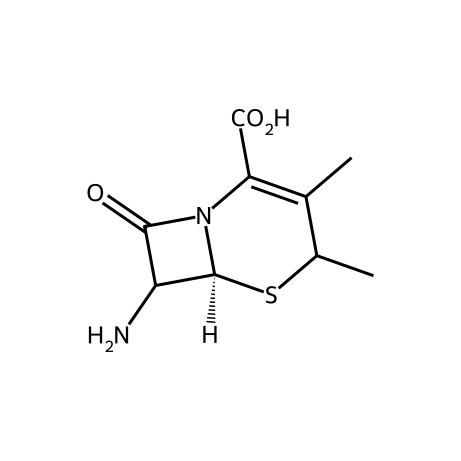 CC1=C(C(=O)O)N2C(=O)C(N)[C@@H]2SC1C